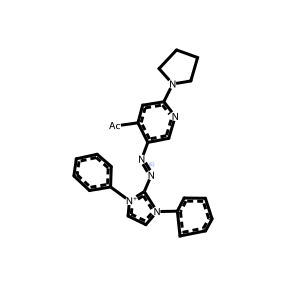 CC(=O)c1cc(N2CCCC2)ncc1/N=N/c1n(-c2ccccc2)cc[n+]1-c1ccccc1